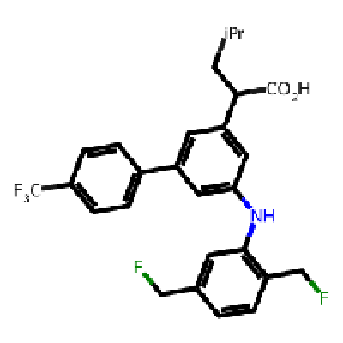 CC(C)CC(C(=O)O)c1cc(Nc2cc(CF)ccc2CF)cc(-c2ccc(C(F)(F)F)cc2)c1